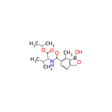 Cc1c(C(=O)NC(C(=O)OC(C)C)C(C)C)ccc2c1B(O)OC2